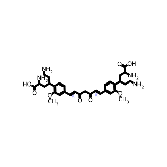 COc1cc(/C=C/C(=O)CC(=O)/C=C/c2ccc(C(CCN)CC(N)C(=O)O)c(OC)c2)ccc1C(CCN)CC(N)C(=O)O